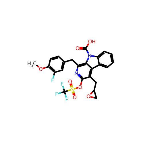 COc1ccc(Cc2nc(OS(=O)(=O)C(F)(F)F)c(CC3CO3)c3c4ccccc4n(C(=O)O)c23)cc1F